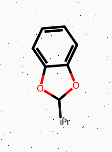 CC(C)C1Oc2ccccc2O1